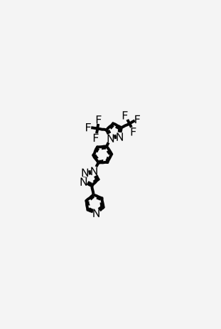 FC(F)(F)c1cc(C(F)(F)F)n(-c2ccc(-n3cc(-c4ccncc4)nn3)cc2)n1